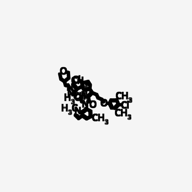 Cc1cc(N2C[C@@H](C)n3c(c(CCCOc4cc(C)c(Cl)c(C)c4)c4ccc(Cl)c(-c5c(C)nn(CC6CCOCC6)c5C)c43)C2=O)c2c(ccn2C)c1